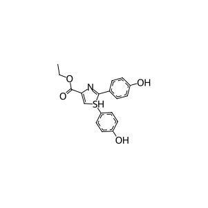 CCOC(=O)C1=C[SH](c2ccc(O)cc2)C(c2ccc(O)cc2)=N1